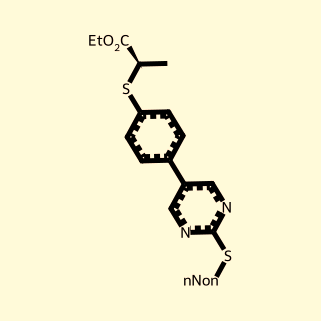 CCCCCCCCCSc1ncc(-c2ccc(S[C@H](C)C(=O)OCC)cc2)cn1